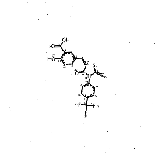 O=C(O)c1cc(C=C2SC(=S)N(c3ccc(C(F)(F)F)cc3)C2=O)ccc1O